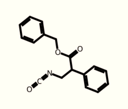 O=C=NCC(C(=O)OCc1ccccc1)c1ccccc1